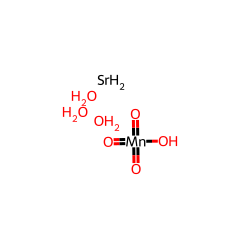 O.O.O.[O]=[Mn](=[O])(=[O])[OH].[SrH2]